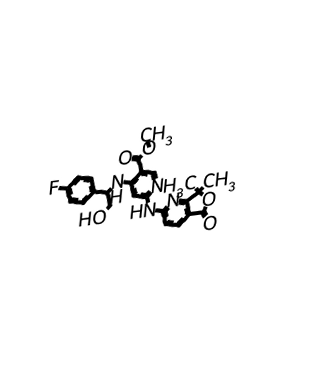 COC(=O)c1cnc(Nc2ccc3c(n2)C(C)(C)OC3=O)cc1NC(CO)c1ccc(F)cc1